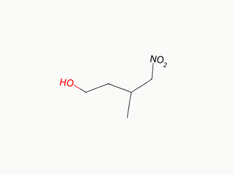 CC(CCO)C[N+](=O)[O-]